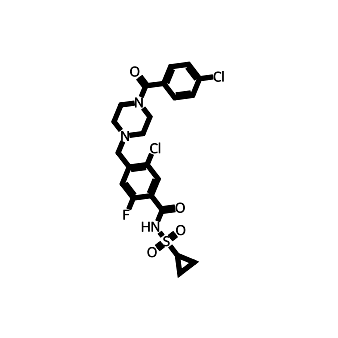 O=C(NS(=O)(=O)C1CC1)c1cc(Cl)c(CN2CCN(C(=O)c3ccc(Cl)cc3)CC2)cc1F